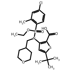 CCOP(=O)(c1ccc(Cl)cc1C)N(CC1CCOCC1)c1cc(C(C)(C)C)sc1C(=O)O